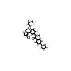 Cn1ncc(Cl)c1-c1cc(NC(=O)c2ccc(N3CCCC3)nc2)ccc1OCCN